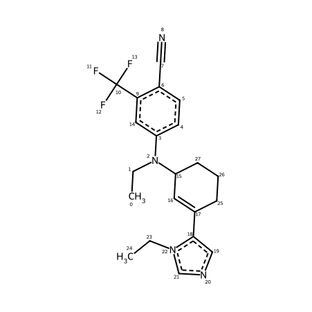 CCN(c1ccc(C#N)c(C(F)(F)F)c1)C1C=C(c2cncn2CC)CCC1